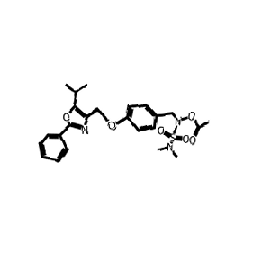 CC(=O)ON(Cc1ccc(OCc2nc(-c3ccccc3)oc2C(C)C)cc1)S(=O)(=O)N(C)C